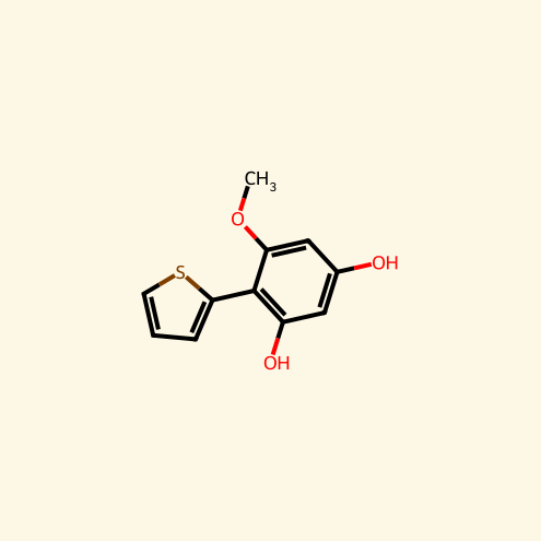 COc1cc(O)cc(O)c1-c1cccs1